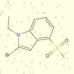 CCn1c(Br)cc2c(S(C)(=O)=O)cccc21